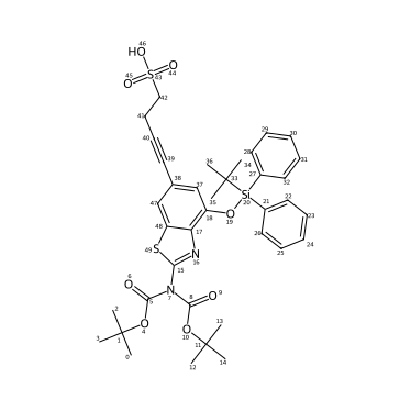 CC(C)(C)OC(=O)N(C(=O)OC(C)(C)C)c1nc2c(O[Si](c3ccccc3)(c3ccccc3)C(C)(C)C)cc(C#CCCS(=O)(=O)O)cc2s1